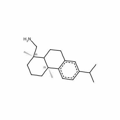 CC(C)c1ccc2c(c1)CCC1[C@](C)(CN)CCC[C@]21C